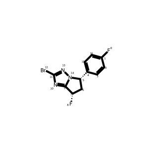 Fc1ccc([C@@H]2C[C@H](F)c3nc(Br)nn32)cc1